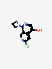 Oc1cnc(N2CCC2)c2cnc(Cl)cc12